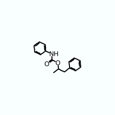 CC(Cc1ccccc1)OC(=O)Nc1ccccc1